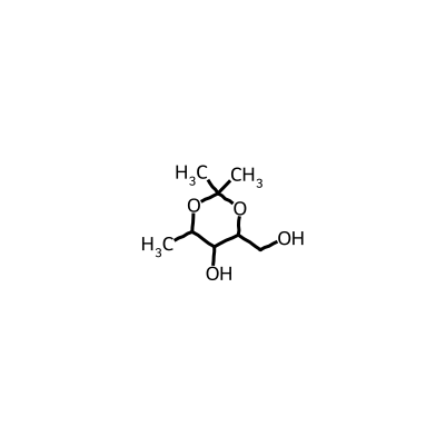 CC1OC(C)(C)OC(CO)C1O